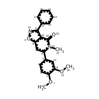 COc1ccc(-c2cc3onc(-c4ccccc4)c3c(=O)n2C)cc1OC